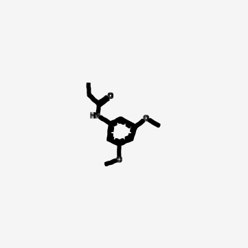 CCC(=O)Nc1cc(OC)cc(OC)c1